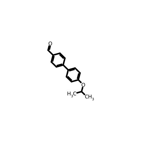 CC(C)Oc1ccc(-c2ccc(C=O)cc2)cc1